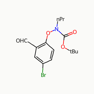 CCCN(Oc1ccc(Br)cc1C=O)C(=O)OC(C)(C)C